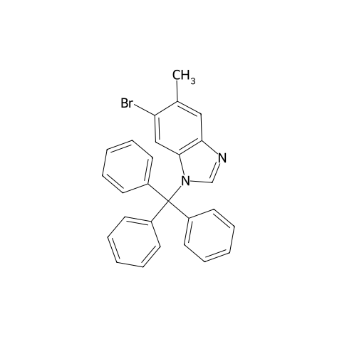 Cc1cc2ncn(C(c3ccccc3)(c3ccccc3)c3ccccc3)c2cc1Br